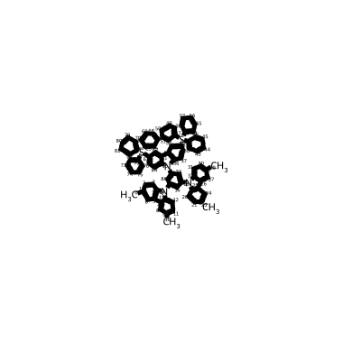 Cc1ccc2c(c1)c1cc(C)ccc1n2-c1cc(-n2c3ccc(C)cc3c3cc(C)ccc32)cc(-n2c3ccc(S(c4ccccc4)(c4ccccc4)c4ccccc4)cc3c3cc(S(c4ccccc4)(c4ccccc4)c4ccccc4)ccc32)c1